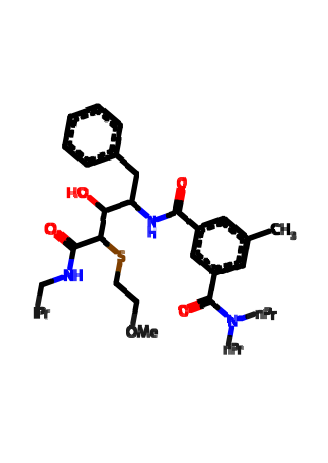 CCCN(CCC)C(=O)c1cc(C)cc(C(=O)NC(Cc2ccccc2)C(O)C(SCCOC)C(=O)NCC(C)C)c1